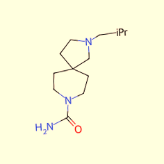 CC(C)CN1CCC2(CCN(C(N)=O)CC2)C1